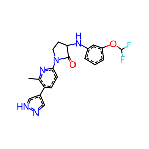 Cc1nc(N2CCC(Nc3cccc(OC(F)F)c3)C2=O)ccc1-c1cn[nH]c1